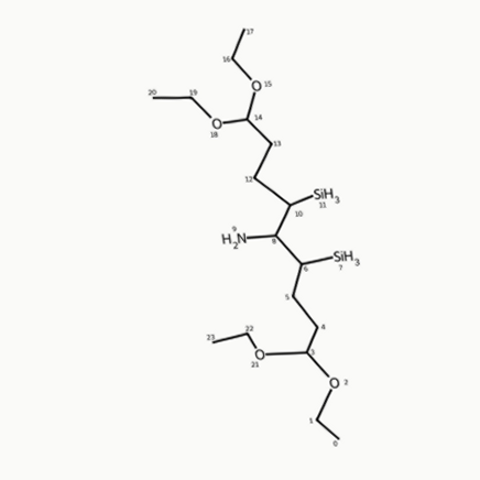 CCOC(CCC([SiH3])C(N)C([SiH3])CCC(OCC)OCC)OCC